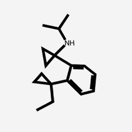 CCC1(c2ccccc2C2(NC(C)C)CC2)CC1